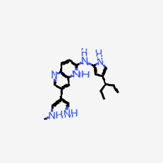 CCC(CC)c1c[nH]c(NC2C=Cc3ncc(/C(C=N)=C/NC)cc3N2)c1